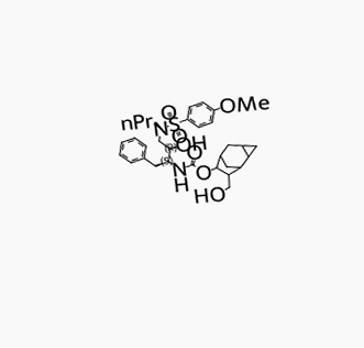 CCCN(C[C@@H](O)[C@H](Cc1ccccc1)NC(=O)OC1C2CC3CC3C(C2)C1CO)S(=O)(=O)c1ccc(OC)cc1